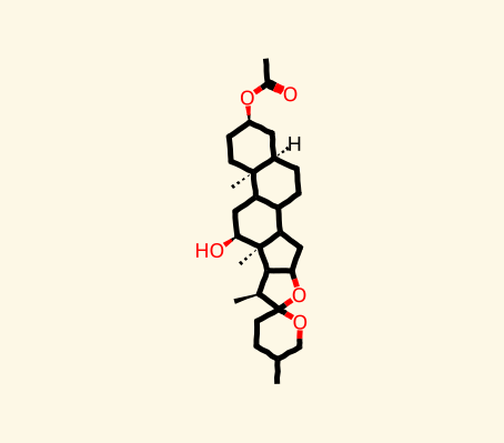 CC(=O)O[C@@H]1CC[C@]2(C)C3C[C@H](O)[C@@]4(C)C(CC5OC6(CCC(C)CO6)[C@@H](C)C54)C3CC[C@@H]2C1